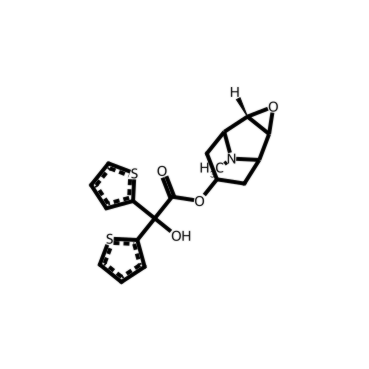 CN1C2CC(OC(=O)C(O)(c3cccs3)c3cccs3)CC1[C@@H]1OC21